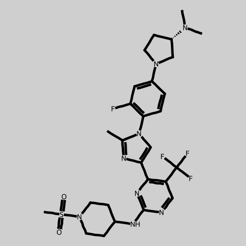 Cc1nc(-c2nc(NC3CCN(S(C)(=O)=O)CC3)ncc2C(F)(F)F)cn1-c1ccc(N2CC[C@H](N(C)C)C2)cc1F